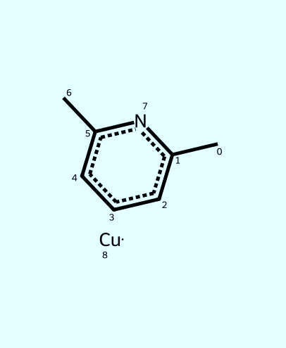 Cc1cccc(C)n1.[Cu]